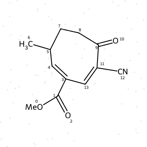 COC(=O)C1=C/C(C)CCC(=O)/C(C#N)=C\1